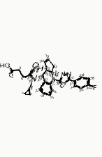 O=C(O)CCC(=O)N(C1CC1)[C@H]1c2ccccc2N(c2nnc(-c3ccc(F)cc3)o2)[C@@H]2CCC[C@@H]21